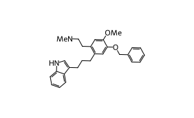 CNCCc1cc(OC)c(OCc2ccccc2)cc1CCCc1c[nH]c2ccccc12